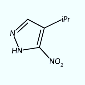 CC(C)c1cn[nH]c1[N+](=O)[O-]